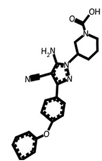 N#Cc1c(-c2ccc(Oc3ccccc3)cc2)nn(C2CCCN(C(=O)O)C2)c1N